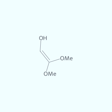 COC(=CO)OC